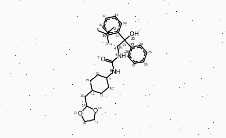 CC(C)C[C@@H](NC(=O)NC1CCC(CC2OCCO2)CC1)C(O)(c1ccccc1)c1ccccc1